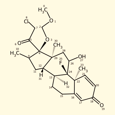 COCO[C@]1(C(=O)CCl)C(C)C[C@H]2[C@@H]3CCC4=CC(=O)C=C[C@]4(C)[C@@]3(F)C(O)C[C@@]21C